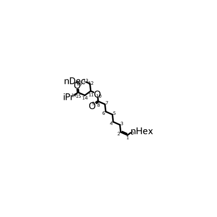 CCCCCC/C=C\CCCCCC(=O)OC(CCCCCCCCCCC)CC(=O)C(C)C